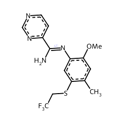 COc1cc(C)c(SCC(F)(F)F)cc1/N=C(\N)c1ccncn1